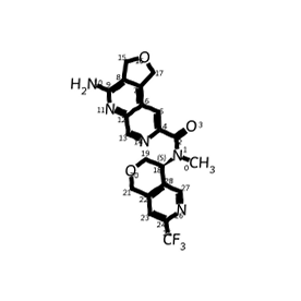 CN(C(=O)c1cc2c3c(c(N)nc2cn1)COC3)[C@@H]1COCc2cc(C(F)(F)F)ncc21